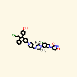 CC1CN(CC2CCN(c3ccc(C(=C(CCCl)c4ccccc4)c4ccc(O)cc4)cc3)CC2)CC(C)N1c1cc2c(cc1F)CN(C1CCC(=O)NC1=O)C2